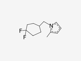 Cc1cccn1CC1CCC(F)(F)CC1